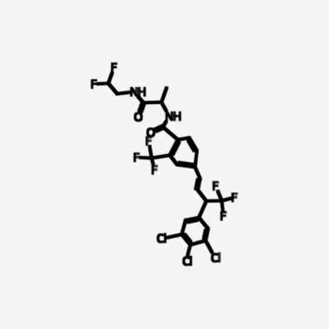 CC(NC(=O)c1ccc(/C=C/C(c2cc(Cl)c(Cl)c(Cl)c2)C(F)(F)F)cc1C(F)(F)F)C(=O)NCC(F)F